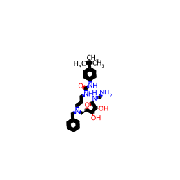 CC(C)(C)c1ccc(NC(=O)NCCCN(Cc2ccccc2)C[C@H]2O[C@@H](NCN)[C@H](O)[C@@H]2O)cc1